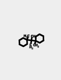 CC1(C(C)(C)C2(C)CCCCC2)CCCCC1